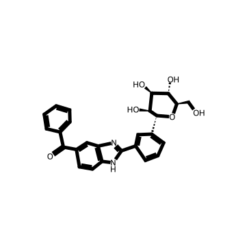 O=C(c1ccccc1)c1ccc2[nH]c(-c3cccc([C@H]4O[C@H](CO)[C@@H](O)[C@H](O)[C@@H]4O)c3)nc2c1